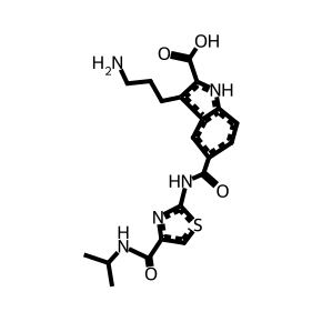 CC(C)NC(=O)c1csc(NC(=O)c2ccc3[nH]c(C(=O)O)c(CCCN)c3c2)n1